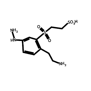 NCCc1ccc(NN)cc1S(=O)(=O)CCS(=O)(=O)O